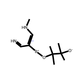 CN/C=C(/[B+]OC(C)(C)C(C)(C)[O-])C=N